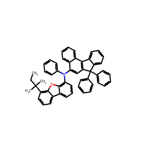 CCC(C)(C)c1cccc2c1oc1c(N(c3ccccc3)c3cc4c(c5ccccc35)-c3ccccc3C4(c3ccccc3)c3ccccc3)cccc12